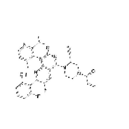 C#CC1CN(C(=O)C=C)CCN1c1nc(=O)n(-c2c(C)ccnc2C(C)C)c2nc(-c3c(O)cccc3F)c(F)cc12